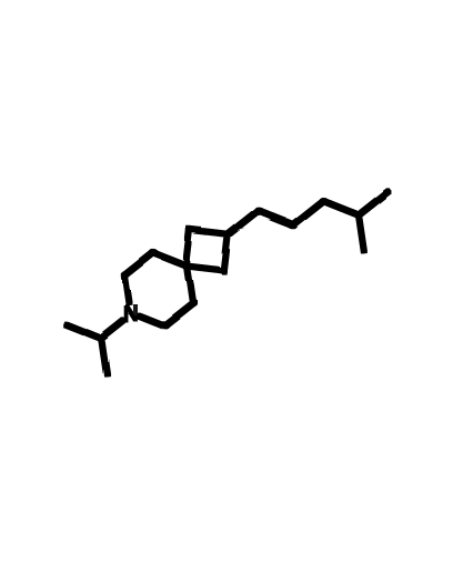 CC(C)CCCC1CC2(CCN(C(C)C)CC2)C1